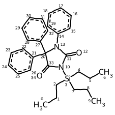 CCC[Si](CCC)(CCC)N1C(=O)N(c2ccccc2)C(c2ccccc2)(c2ccccc2)C1=O